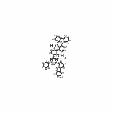 Cc1c(-c2nc(-c3ccccc3)nc(-c3cccc4c3sc3ccccc34)n2)cccc1-c1cccc(-n2c3ccccc3c3cccnc32)c1C